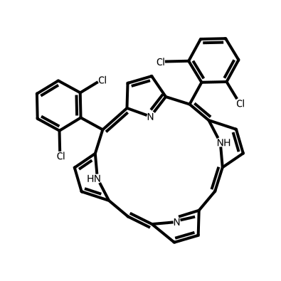 Clc1cccc(Cl)c1-c1c2nc(c(-c3c(Cl)cccc3Cl)c3ccc(cc4nc(cc5ccc1[nH]5)C=C4)[nH]3)C=C2